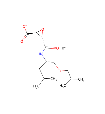 CC(C)COC[C@H](CC(C)C)NC(=O)[C@H]1O[C@@H]1C(=O)[O-].[K+]